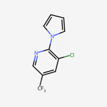 FC(F)(F)c1cnc(-n2[c]ccc2)c(Cl)c1